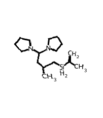 C=C(C)[SiH2]CC(C)CC(N1CCCC1)N1CCCC1